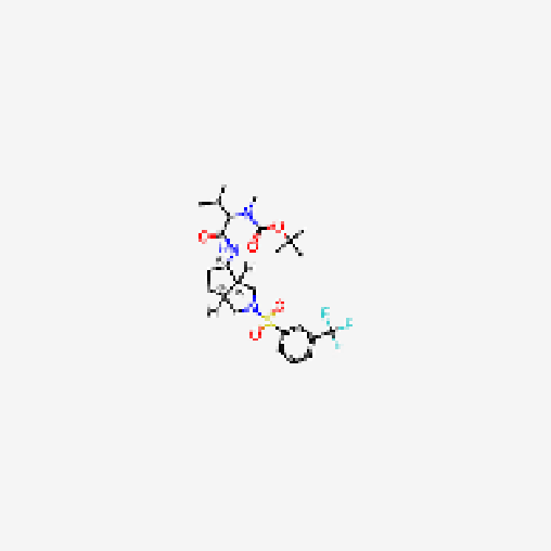 CC(C)C(C(=O)N[C@@H]1CC[C@H]2CN(S(=O)(=O)c3cccc(C(F)(F)F)c3)C[C@H]21)N(C)C(=O)OC(C)(C)C